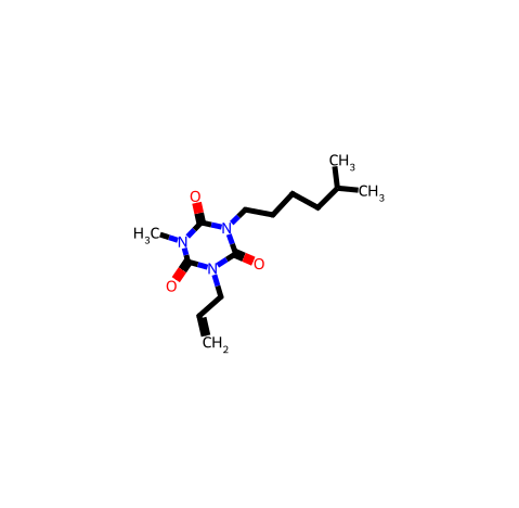 C=CCn1c(=O)n(C)c(=O)n(CCCCC(C)C)c1=O